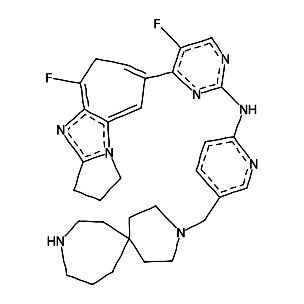 FC1=c2nc3n(c2=CC(c2nc(Nc4ccc(CN5CCC6(CCCNCC6)CC5)cn4)ncc2F)=CC1)CCC3